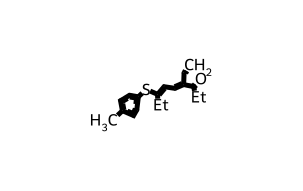 C=C/C(=C\C=C(/CC)Sc1ccc(C)cc1)C(=O)CC